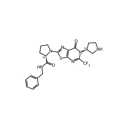 O=C(NCc1ccccc1)[C@H]1CCCN1c1nc2c(=O)n([C@H]3CCNC3)c(C(F)(F)F)nc2s1